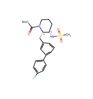 COC(=O)N1CCC[C@H](NS(C)(=O)=O)[C@@H]1Cc1cccc(-c2ccc(F)cc2)c1